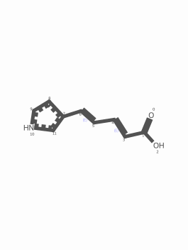 O=C(O)/C=C/C=C/c1cc[nH]c1